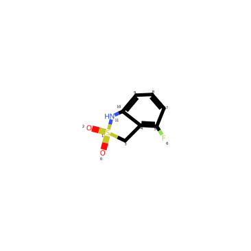 O=S1(=O)Cc2c(F)cccc2N1